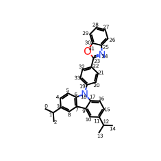 CC(C)c1ccc2c(c1)c1cc(C(C)C)ccc1n2-c1ccc(-c2nc3ccccc3o2)cc1